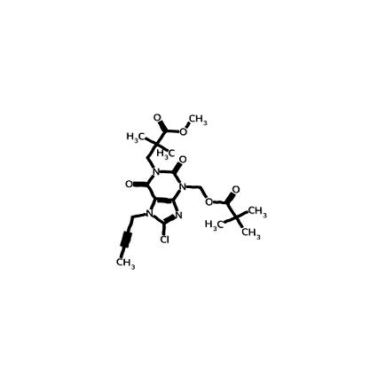 CC#CCn1c(Cl)nc2c1c(=O)n(CC(C)(C)C(=O)OC)c(=O)n2COC(=O)C(C)(C)C